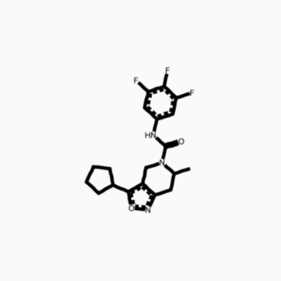 CC1Cc2noc(C3CCCC3)c2CN1C(=O)Nc1cc(F)c(F)c(F)c1